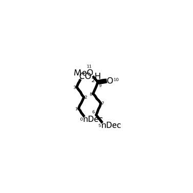 CCCCCCCCCCCCCC(=O)O.CCCCCCCCCCCCCC(=O)OC